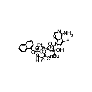 CCCCOC(=O)[C@H](C)NP(=O)(Oc1cccc2ccccc12)O[C@H](CC)[C@@H]1C[C@@](C)(O)[C@H](n2cc(F)c3c(N)ncnc32)O1